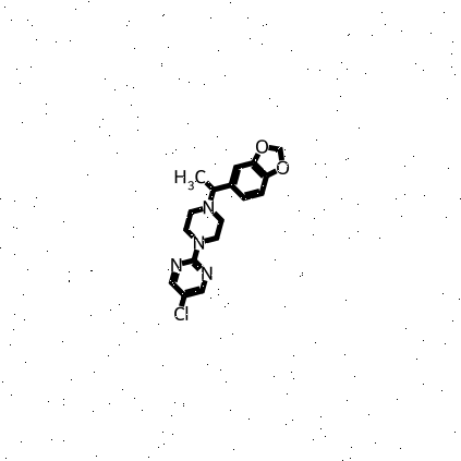 CC(c1ccc2c(c1)OCO2)N1CCN(c2ncc(Cl)cn2)CC1